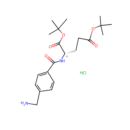 CC(C)(C)OC(=O)CC[C@H](NC(=O)c1ccc(CN)cc1)C(=O)OC(C)(C)C.Cl